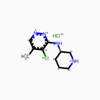 Cc1cnnc(N[C@@H]2CCCNC2)c1Cl.Cl